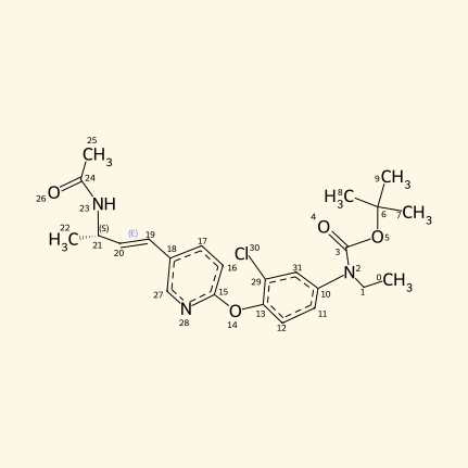 CCN(C(=O)OC(C)(C)C)c1ccc(Oc2ccc(/C=C/[C@H](C)NC(C)=O)cn2)c(Cl)c1